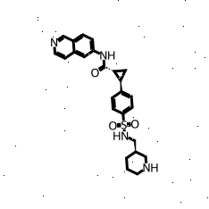 O=C(Nc1ccc2cnccc2c1)[C@@H]1C[C@H]1c1ccc(S(=O)(=O)NC[C@@H]2CCCNC2)cc1